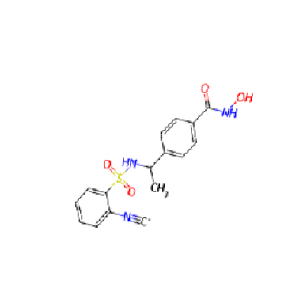 [C-]#[N+]c1ccccc1S(=O)(=O)NC(C)c1ccc(C(=O)NO)cc1